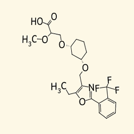 CCc1oc(-c2ccccc2C(F)(F)F)nc1CO[C@H]1CCC[C@@H](OCC(OC)C(=O)O)C1